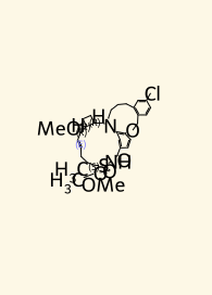 CO[C@H]1/C=C/CC[C@@H](CC(C)(C)OC)S(=O)(=O)NC(=O)c2ccc3c(c2)N(CCCCc2cc(Cl)ccc2CO3)C[C@@H]2CC[C@H]21